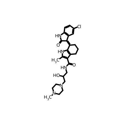 Cc1[nH]c2c(c1C(=O)NCC(O)CN1CCN(C)CC1)CCC/C2=C1/C(=O)Nc2ccc(Cl)cc21